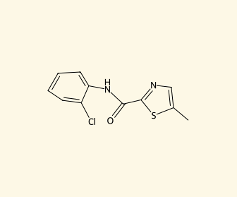 Cc1cnc(C(=O)Nc2ccccc2Cl)s1